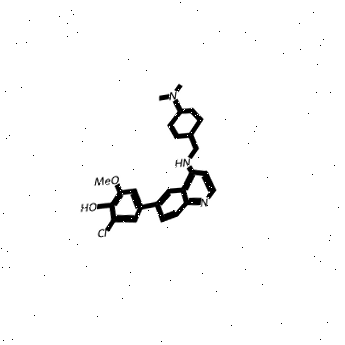 COc1cc(-c2ccc3nc[c]c(NCC4CCC(N(C)C)CC4)c3c2)cc(Cl)c1O